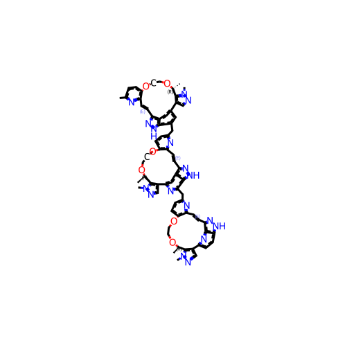 Cc1ccc2c(n1)/C=C/c1n[nH]c3c(Cc4ccc5c(n4)/C=C/c4n[nH]c6c(Cc7ccc8c(n7)/C=C/c7n[nH]c9ccc(nc79)-c7cnn(C)c7[C@@H](C)OCCO8)nc(cc46)-c4cnn(C)c4[C@@H](C)OCCO5)cc(cc13)-c1cnn(C)c1[C@@H](C)OCCO2